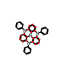 c1ccc(N(c2ccccc2)c2ccccc2N(c2ccccc2N(c2ccccc2)c2ccccc2)c2ccccc2N(c2ccccc2)c2ccccc2)cc1